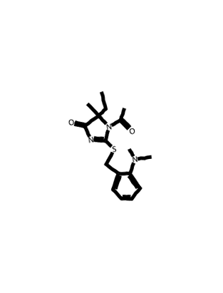 CCC1(C)C(=O)N=C(SCc2ccccc2N(C)C)N1C(C)=O